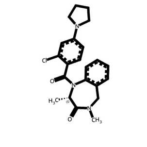 C[C@H]1C(=O)N(C)Cc2ccccc2N1C(=O)c1ccc(N2CCCC2)cc1Cl